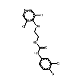 O=C(NCCNc1c(Cl)cncc1Cl)Nc1ccc(F)c(Cl)c1